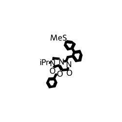 CSc1ccc(-c2ccccc2Cc2nc(=O)c(OCc3ccccc3)c3n2CCN(C(C)C)C3=O)cc1